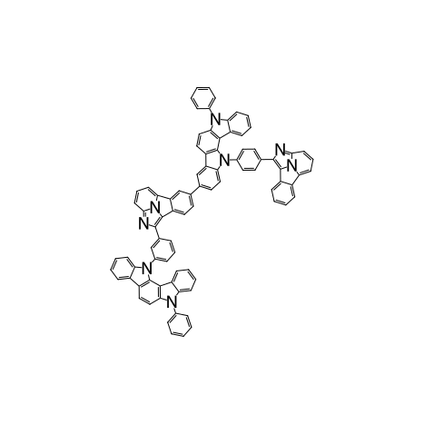 c1ccc(-n2c3ccccc3c3c2ccc2c4ccccc4n(-c4cccc(-c5nc6cccc7c8cc(-c9ccc%10c(c9)c9ccc%11c(c%12ccccc%12n%11-c%11ccccc%11)c9n%10-c9ccc(-c%10nc%11cccc%12c%13ccccc%13c%10n%11%12)cc9)ccc8c5n67)c4)c23)cc1